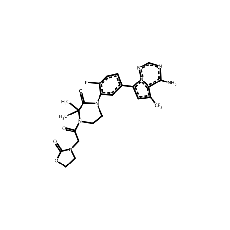 CC1(C)C(=O)N(c2cc(-c3cc(C(F)(F)F)c4c(N)ncnn34)ccc2F)CCN1C(=O)CN1CCOC1=O